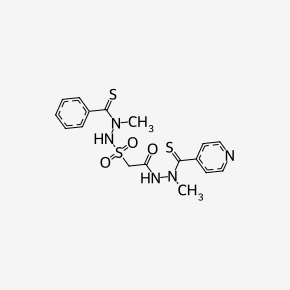 CN(NC(=O)CS(=O)(=O)NN(C)C(=S)c1ccccc1)C(=S)c1ccncc1